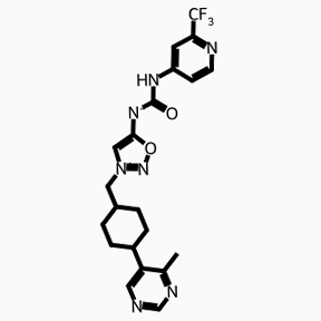 Cc1ncncc1C1CCC(C[n+]2cc([N-]C(=O)Nc3ccnc(C(F)(F)F)c3)on2)CC1